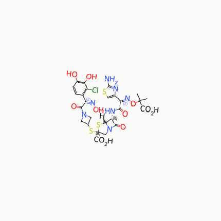 CC(C)(O/N=C(\C(=O)N[C@@H]1C(=O)N2C[C@](SC3CN(C(=O)/C(=N\O)c4ccc(O)c(O)c4Cl)C3)(C(=O)O)S[C@H]12)c1csc(N)n1)C(=O)O